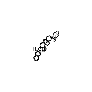 C[C@]12CC=C3C=C4CC[C@@H]([N+]5([O-])CCOCC5)C[C@]45CCC3(O5)[C@@H]1CC[C@@H]2c1ccc2ccccc2c1